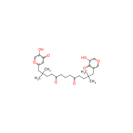 CC(C)(CCC(=O)CCCC(=O)CCC(C)(C)Cc1cocc(O)c1=O)Cc1cc(=O)c(O)co1